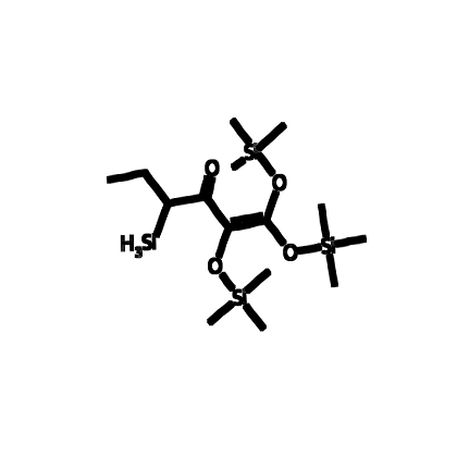 CCC([SiH3])C(=O)C(O[Si](C)(C)C)=C(O[Si](C)(C)C)O[Si](C)(C)C